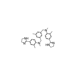 Cc1cc(CN(C)c2ccc(C3=NCCN3)cc2C)cc(CN(C)c2ccc(C3=NCCN3)cc2C)c1